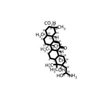 CC1(C)C2CC[C@]3(C)[C@H](C(=O)C=C4[C@H]5C[C@@](C)(C(=O)O)CC[C@]5(C)CC[C@]43C)[C@@]2(C)CC[C@@]1(O)CC(N)O